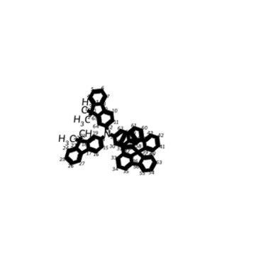 CC1(C)c2ccccc2-c2ccc(N(c3ccc4c(c3)C(C)(C)c3ccccc3-4)c3cc(-c4cccc5c4C4(c6ccccc6-c6ccccc64)c4ccccc4-5)c4ccccc4c3)cc21